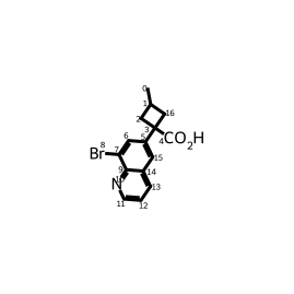 CC1CC(C(=O)O)(c2cc(Br)c3ncccc3c2)C1